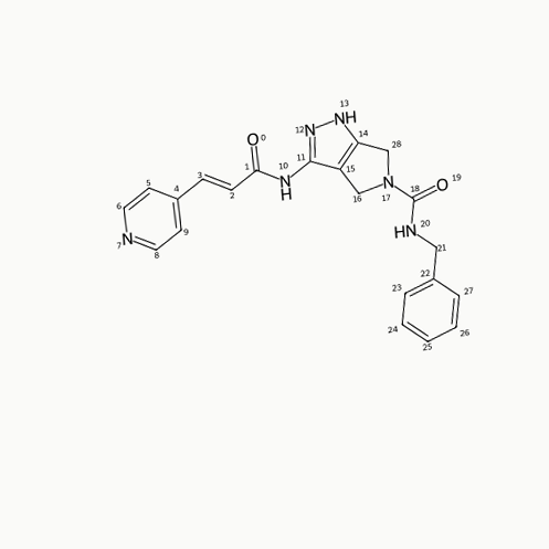 O=C(C=Cc1ccncc1)Nc1n[nH]c2c1CN(C(=O)NCc1ccccc1)C2